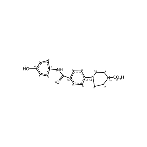 O=C(Nc1ccc(O)cc1)c1ccc(N2CCN(C(=O)O)CC2)cc1